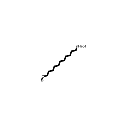 CCCCCCCCCCCCCCCCCC[O][Zr]